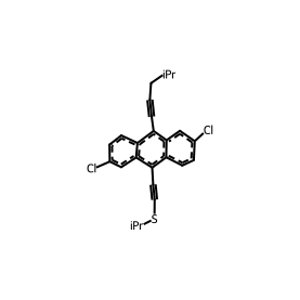 CC(C)CC#Cc1c2ccc(Cl)cc2c(C#CSC(C)C)c2ccc(Cl)cc12